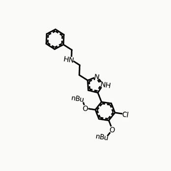 CCCCOc1cc(OCCCC)c(-c2cc(CCNCc3ccccc3)n[nH]2)cc1Cl